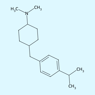 CC(C)c1ccc(CC2CCC(N(C)C)CC2)cc1